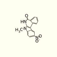 Cn1c2ccc([N+](=O)[O-])cc2c2c3ccccc3c(=O)[nH]c21